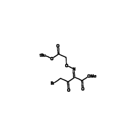 COC(=O)C(=NOCC(=O)OC(C)(C)C)C(=O)CBr